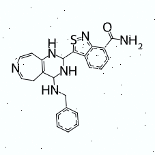 NC(=O)c1cccc2c(C3NC4=C(CC=NC=C4)C(NCc4ccccc4)N3)snc12